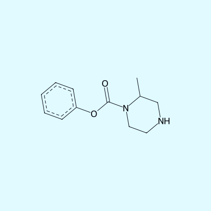 CC1CNCCN1C(=O)Oc1ccccc1